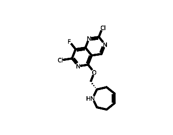 Fc1c(Cl)nc(OC[C@@H]2CC=CCCN2)c2cnc(Cl)nc12